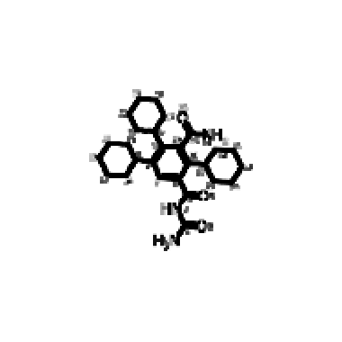 NC(=O)NC(=O)c1cc(C2CCCCC2)c(C2CCCCC2)c(C(N)=O)c1C1CCCCC1